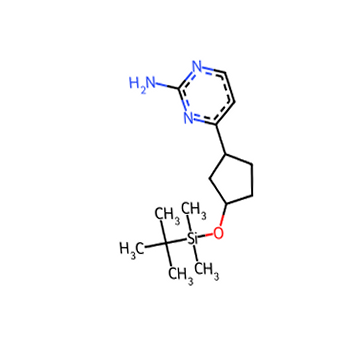 CC(C)(C)[Si](C)(C)OC1CCC(c2ccnc(N)n2)C1